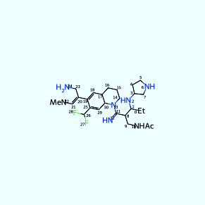 CCC(NC1CCNC1)C(CNC(C)=O)C(=N)N1CCCC2C=C(/C(=C/NC)CN)C(C(F)F)=CC21